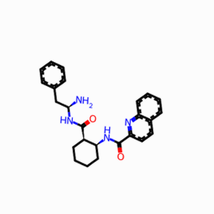 N[C@H](Cc1ccccc1)NC(=O)[C@@H]1CCCC[C@@H]1NC(=O)c1ccc2ccccc2n1